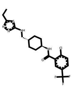 CCc1nnc(NC[C@H]2CC[C@H](NC(=O)c3cc(C(F)(F)F)ccc3Cl)CC2)s1